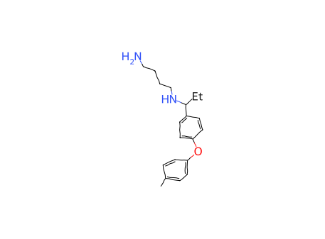 CCC(NCCCCN)c1ccc(Oc2ccc(C)cc2)cc1